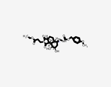 CCOC(=O)CCN1C(=O)[C@H]2[C@H]3[C@H](O)[C@H](O)C/C(=N\NC(=O)OCc4ccc(OC)cc4)[C@H]3CC[C@H]2C1=O